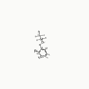 CC(C)(C)[Si](C)(C)OCc1cccc(F)c1F